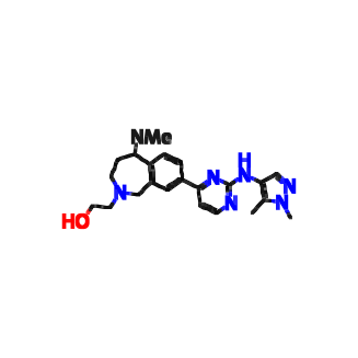 CNC1CCN(CCO)Cc2cc(-c3ccnc(Nc4cnn(C)c4C)n3)ccc21